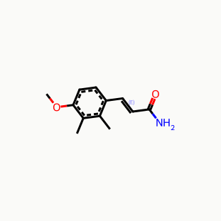 COc1ccc(/C=C/C(N)=O)c(C)c1C